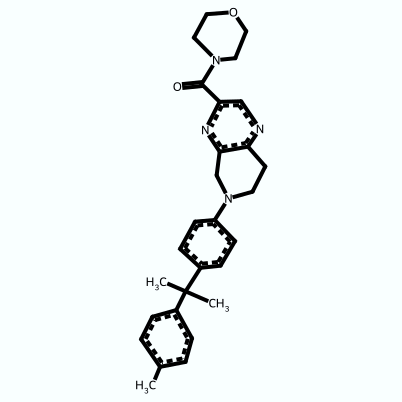 Cc1ccc(C(C)(C)c2ccc(N3CCc4ncc(C(=O)N5CCOCC5)nc4C3)cc2)cc1